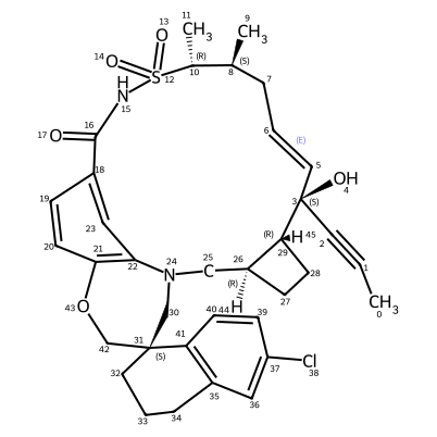 CC#C[C@@]1(O)/C=C/C[C@H](C)[C@@H](C)S(=O)(=O)NC(=O)c2ccc3c(c2)N(C[C@@H]2CC[C@H]21)C[C@@]1(CCCc2cc(Cl)ccc21)CO3